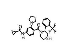 O=C(Nc1ccc(C(=O)N2CCNC[C@@H]2c2ccccc2C(F)(F)F)c(N2CCCC2)c1)C1CC1